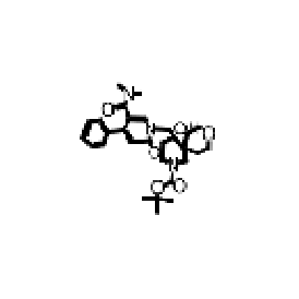 CN(C)C(=O)c1cn(CC2(O)CCN(C(=O)OC(C)(C)C)CC23CCOCC3)c(=O)cc1-c1ccccc1